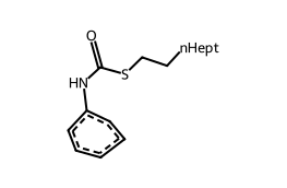 CCCCCCCCCSC(=O)Nc1ccccc1